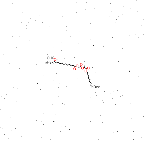 CCCCCCCCCCCCCCCCCCOC(=O)C(C)OC(=O)COC(=O)CCCCCCCCCCC(CCCCCC)OC=O